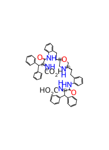 O=C(O)N[C@H](C(=O)Nc1ccccc1CC[C@@H]1CO[C@H](CCc2ccccc2NC(=O)[C@@H](NC(=O)O)C(c2ccccc2)c2ccccc2)CN1)C(c1ccccc1)c1ccccc1